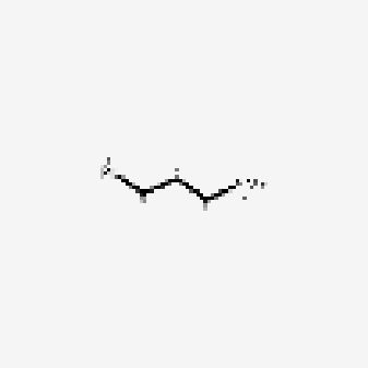 CS[CH]CCC(C)C